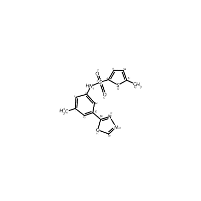 Cc1cc(NS(=O)(=O)c2ccc(C)s2)cc(-c2nnco2)c1